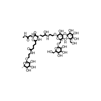 CNC(=O)CNC(=O)[C@H](CCC(O)NCCO[C@H]1O[C@H](CO[C@H]2O[C@H](CO)[C@@H](O)[C@H](O)[C@@H]2O)[C@@H](O)[C@H](O[C@H]2O[C@H](CO)[C@@H](O)[C@H](O)[C@@H]2O)[C@@H]1O)NC(=O)CCCC(=O)NCCO[C@@H]1O[C@@H](C)[C@@H](O)[C@@H](O)[C@@H]1O